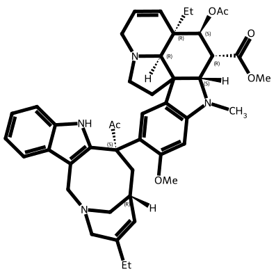 CCC1=C[C@@H]2CN(C1)Cc1c([nH]c3ccccc13)[C@@](C(C)=O)(c1cc3c(cc1OC)N(C)[C@H]1[C@@H](C(=O)OC)[C@H](OC(C)=O)[C@]4(CC)C=CCN5CCC31[C@@H]54)C2